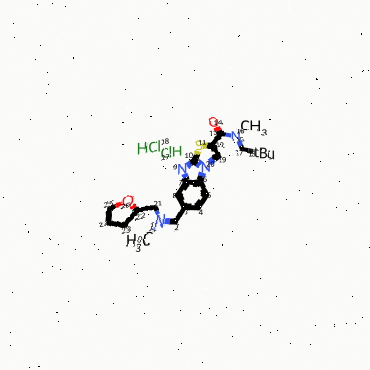 CN(Cc1ccc2c(c1)nc1sc(C(=O)N(C)CC(C)(C)C)cn12)CC1CCCO1.Cl.Cl